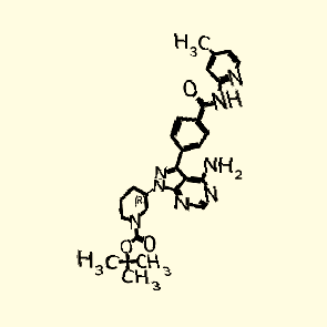 Cc1ccnc(NC(=O)c2ccc(-c3nn([C@@H]4CCCN(C(=O)OC(C)(C)C)C4)c4ncnc(N)c34)cc2)c1